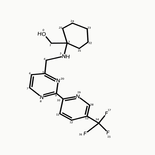 OCC1(NCc2ccnc(-c3ccc(C(F)(F)F)cn3)n2)CCCCC1